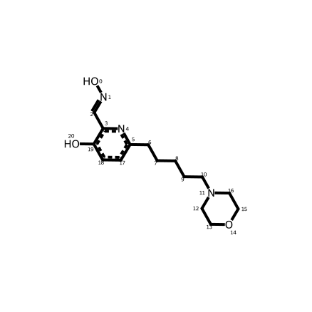 ON=Cc1nc(CCCCCN2CCOCC2)ccc1O